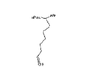 [CH]=CCCCCCC(CCC)CCCCC